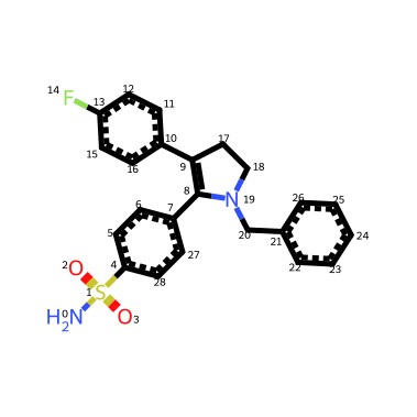 NS(=O)(=O)c1ccc(C2=C(c3ccc(F)cc3)CCN2Cc2ccccc2)cc1